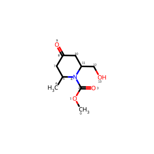 COC(=O)N1C(C)CC(=O)CC1CO